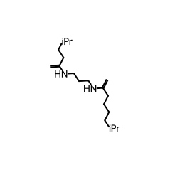 C=C(CCCCC(C)C)NCCCNC(=C)CCC(C)C